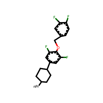 CCCC1CCC(c2cc(F)c(OCc3ccc(F)c(F)c3)c(F)c2)CC1